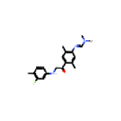 CCN(C)C=Nc1cc(C)c(C(=O)CNc2ccc(C)c(F)c2)cc1C